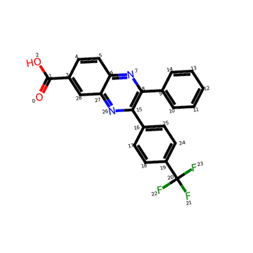 O=C(O)c1ccc2nc(-c3ccccc3)c(-c3ccc(C(F)(F)F)cc3)nc2c1